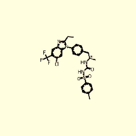 CCc1nc2cc(C(F)(F)F)c(Cl)cc2n1-c1ccc(C[C@@H](C)NC(=O)NS(=O)(=O)c2ccc(C)cc2)cc1